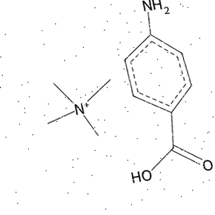 C[N+](C)(C)C.Nc1ccc(C(=O)O)cc1